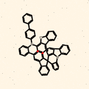 c1ccc(-c2ccc(N(c3ccccc3-c3ccc4c(c3)-c3ccccc3C43c4ccccc4-n4c5ccccc5c5cccc3c54)c3cccc4c3oc3ccccc34)cc2)cc1